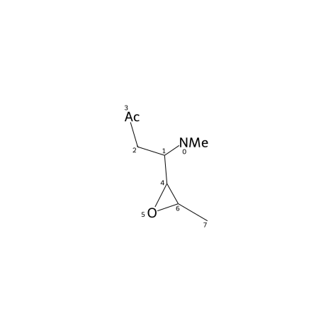 CNC(CC(C)=O)C1OC1C